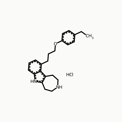 CCc1ccc(OCCCc2cccc3[nH]c4c(c23)CCNCC4)cc1.Cl